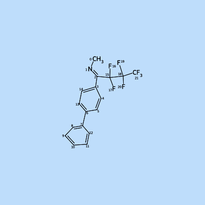 CN=C(c1ccc(-c2ccccc2)cc1)C(F)(F)C(F)(F)C(F)(F)F